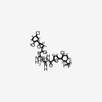 COc1ccc(Cl)cc1-c1ccc(C(=O)N=C(N)NNC(=N)NC(=O)c2ccc(-c3cc(C(F)(F)F)ccc3Cl)o2)o1